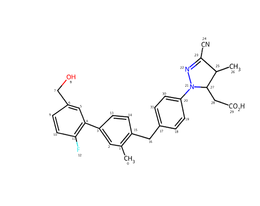 Cc1cc(-c2cc(CO)ccc2F)ccc1Cc1ccc(N2N=C(C#N)C(C)C2CC(=O)O)cc1